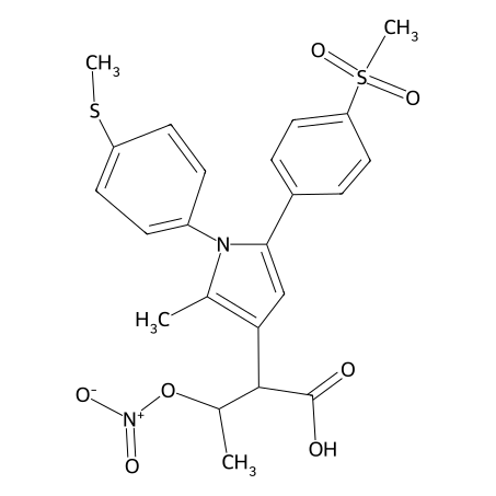 CSc1ccc(-n2c(-c3ccc(S(C)(=O)=O)cc3)cc(C(C(=O)O)C(C)O[N+](=O)[O-])c2C)cc1